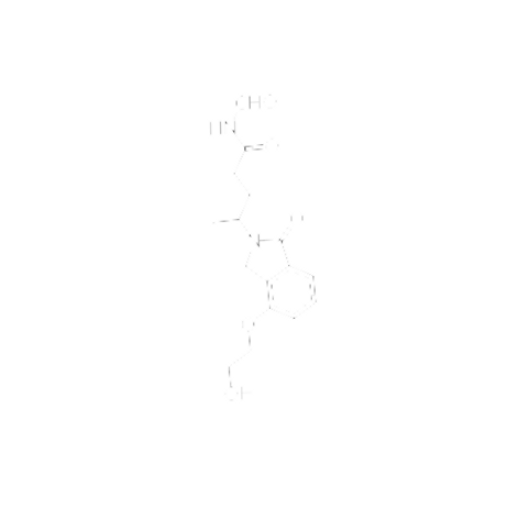 CC(CCC(=O)NC=O)N1Cc2c(OCCO)cccc2C1=O